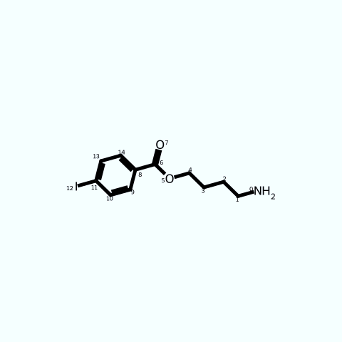 NCCCCOC(=O)c1ccc(I)cc1